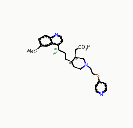 COc1ccc2nccc([C@@H](F)CC[C@@H]3CCN(CCSc4ccncc4)C[C@@H]3CC(=O)O)c2c1